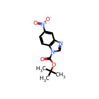 CC(C)(C)OC(=O)n1cnc2cc([N+](=O)[O-])ccc21